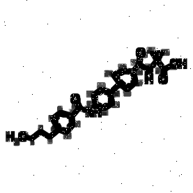 CCCCc1ccc(C(=O)Nc2ccc(-c3ccc(C(=O)NC4(C(=O)O)CC4)cc3)cc2)cc1